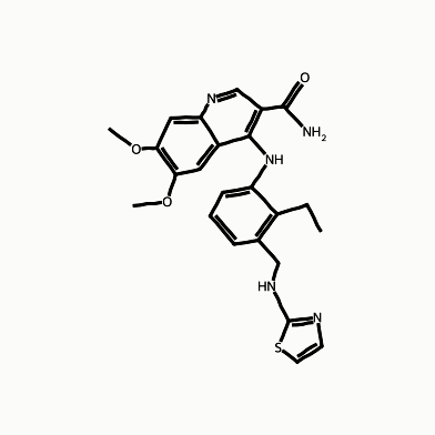 CCc1c(CNc2nccs2)cccc1Nc1c(C(N)=O)cnc2cc(OC)c(OC)cc12